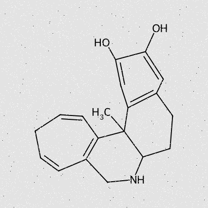 CC12C3=C(C=CCC=C3)CNC1CCc1cc(O)c(O)cc12